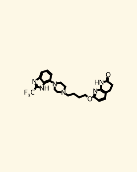 O=C1CCc2ccc(OCCCCN3CCN(c4cccc5nc(C(F)(F)F)[nH]c45)CC3)nc2N1